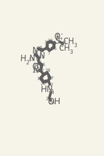 CC(C)[S+]([O-])c1ccc(-c2cnc(N)c(-c3cc(-c4ccc(CNCCO)cc4)no3)n2)cc1